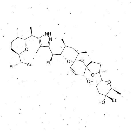 CC[C@@H](C(C)=O)[C@H]1CC[C@H](C)[C@H]([C@@H](C)c2[nH]nc([C@H](CC)[C@H]3O[C@]4(C=C[C@@H](O)[C@]5(CC[C@@](C)([C@H]6CC[C@](O)(CC)[C@H](C)O6)O5)O4)[C@H](C)C[C@@H]3C)c2C)O1